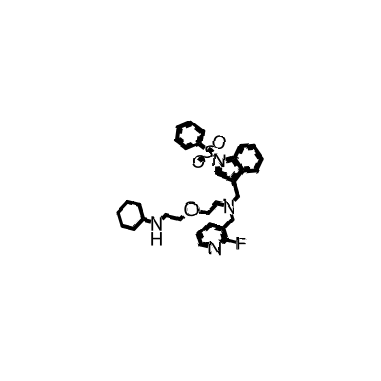 O=S(=O)(c1ccccc1)n1cc(CN(CCOCCNC2CCCCC2)Cc2cccnc2F)c2ccccc21